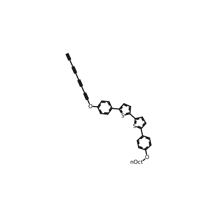 C#CC#CC#CC#COc1ccc(-c2ccc(-c3ccc(-c4ccc(OCCCCCCCC)cc4)s3)s2)cc1